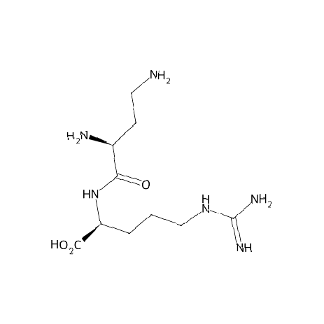 N=C(N)NCCC[C@H](NC(=O)[C@@H](N)CCN)C(=O)O